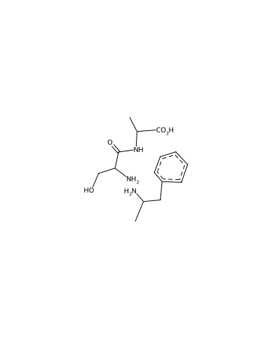 CC(N)Cc1ccccc1.CC(NC(=O)C(N)CO)C(=O)O